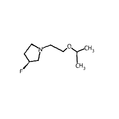 CC(C)OCCN1CC[C@H](F)C1